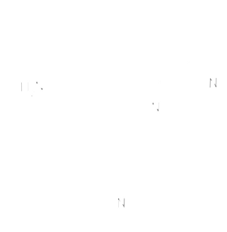 CN(C)CCn1cncc1-c1cccc(N)c1